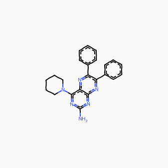 Nc1nc(N2CCCCC2)c2nc(-c3ccccc3)c(-c3ccccc3)nc2n1